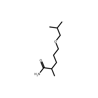 [CH2]C(C)COCCCC(C)C(N)=O